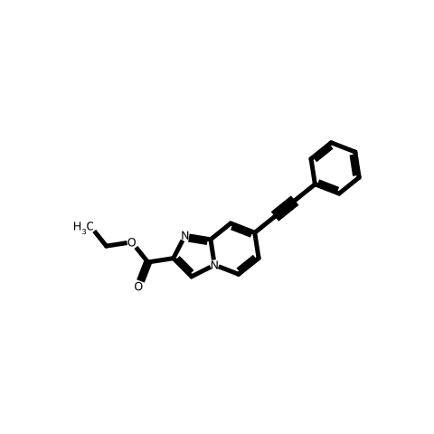 CCOC(=O)c1cn2ccc(C#Cc3ccccc3)cc2n1